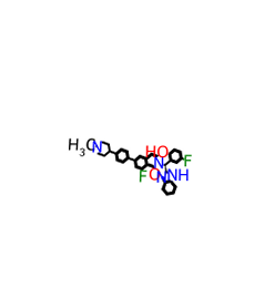 CN1CCC(c2ccc(-c3cc(F)c4c(=O)n([C@H](c5nc6ccccc6[nH]5)c5cc(F)ccc5O)ccc4c3)cc2)CC1